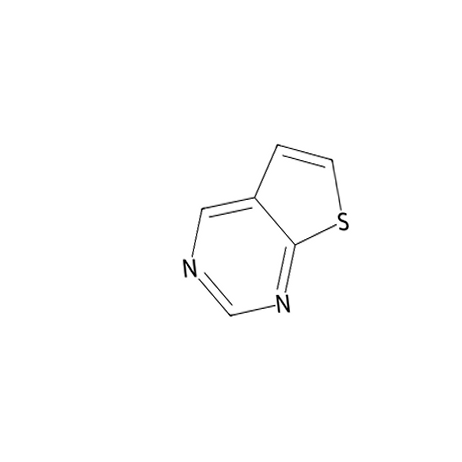 c1ncc2ccsc2n1